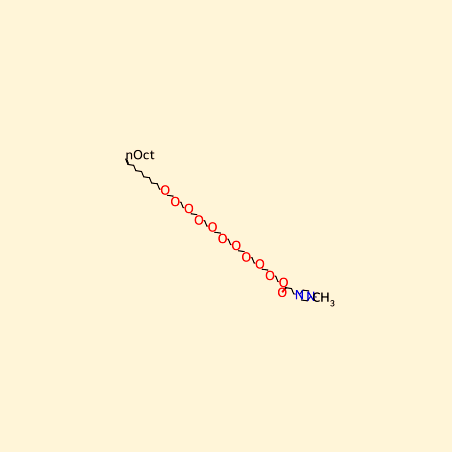 CCCCCCCC/C=C\CCCCCCCCOCCOCCOCCOCCOCCOCCOCCOCCOCCOCCOC(=O)CCN1CCN(C)CC1